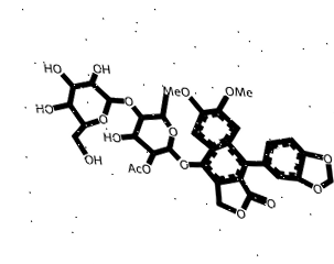 COc1cc2c(OC3OC(C)C(OC4OC(CO)C(O)C(O)C4O)C(O)C3OC(C)=O)c3c(c(-c4ccc5c(c4)OCO5)c2cc1OC)C(=O)OC3